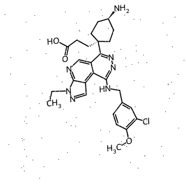 CCn1ncc2c3c(NCc4ccc(OC)c(Cl)c4)nnc([C@]4(CCC(=O)O)CC[C@H](N)CC4)c3cnc21